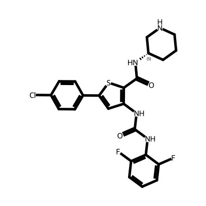 O=C(Nc1cc(-c2ccc(Cl)cc2)sc1C(=O)N[C@H]1CCCNC1)Nc1c(F)cccc1F